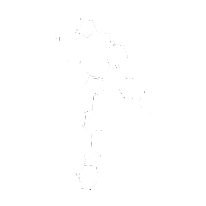 CC1CCC(C2=C(c3cc(-c4ccc(-c5cc6ncccn6n5)cc4)sc3C(=O)O)CN(Cc3cnn(C)c3)CC2)CC1